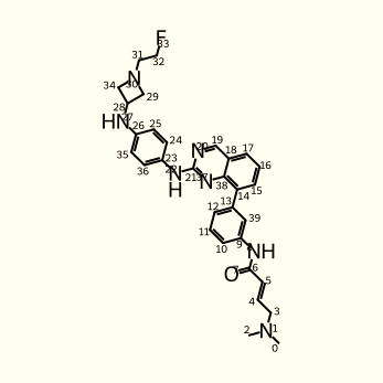 CN(C)CC=CC(=O)Nc1cccc(-c2cccc3cnc(Nc4ccc(NC5CN(CCF)C5)cc4)nc23)c1